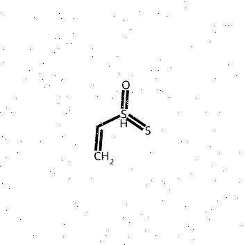 C=C[SH](=O)=S